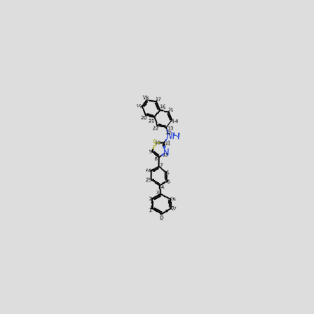 c1ccc(-c2ccc(-c3csc(Nc4ccc5ccccc5c4)n3)cc2)cc1